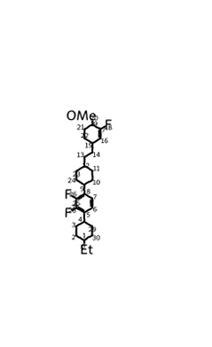 CCC1CCC(c2ccc(C3CCC(CCC4C=C(F)C(OC)CC4)CC3)c(F)c2F)CC1